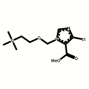 CCc1ncn(COCC[Si](C)(C)C)c1C(=O)OC